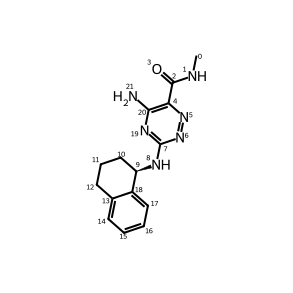 CNC(=O)c1nnc(N[C@@H]2CCCc3ccccc32)nc1N